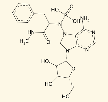 CNC(=O)C(Cc1ccccc1)N(N1CN([C@@H]2O[C@H](CO)C(O)C2O)c2ncnc(N)c21)P(=O)(O)O